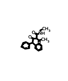 CCNC(=O)C(C(C)=O)C(=O)C(c1ccccc1)c1ccccc1